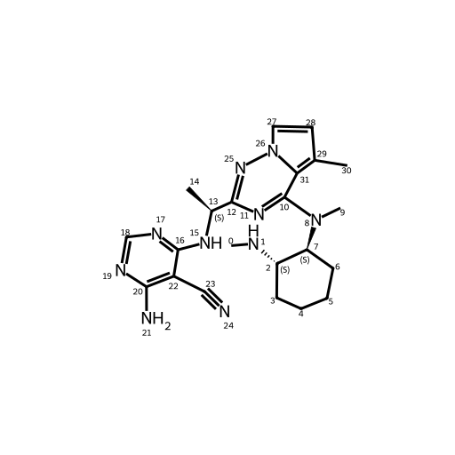 CN[C@H]1CCCC[C@@H]1N(C)c1nc([C@H](C)Nc2ncnc(N)c2C#N)nn2ccc(C)c12